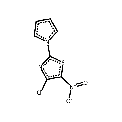 O=[N+]([O-])c1sc(-n2cccc2)nc1Cl